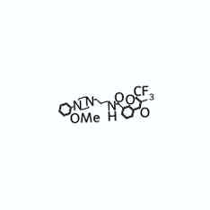 COc1ccccc1N1CCN(CCCNC(=O)c2cccc3c(=O)c(C)c(C(F)(F)F)oc23)CC1